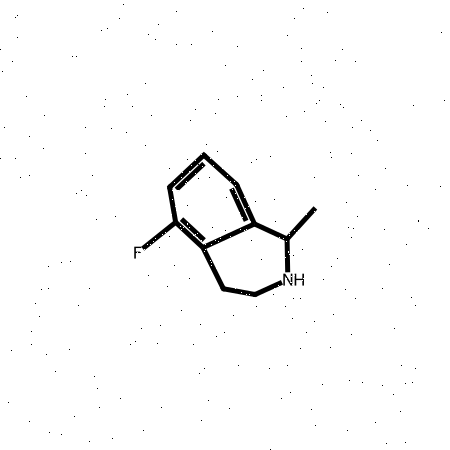 CC1NCCc2c(F)cccc21